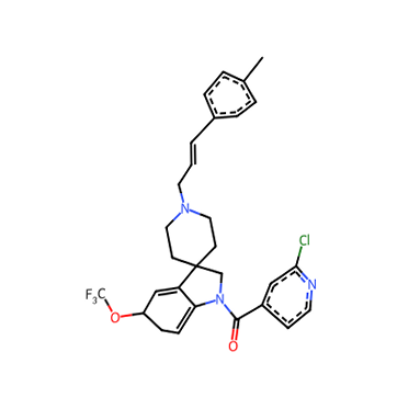 Cc1ccc(/C=C/CN2CCC3(CC2)CN(C(=O)c2ccnc(Cl)c2)C2=CCC(OC(F)(F)F)C=C23)cc1